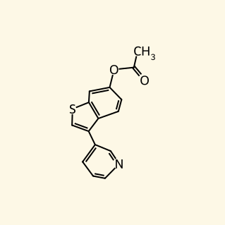 CC(=O)Oc1ccc2c(-c3cccnc3)csc2c1